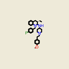 CC[C@H]1Cc2ccccc2N(Cc2ccc(F)cc2)C1NC1CCN(CCc2ccc(OC)cc2)CC1